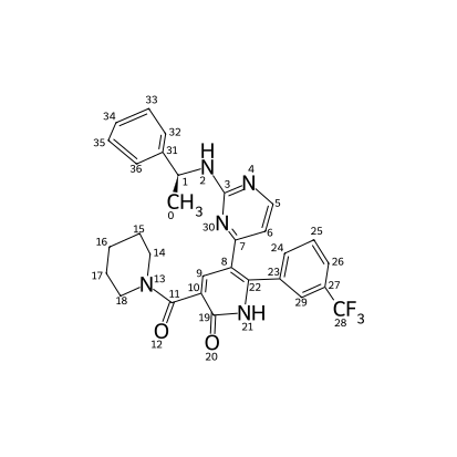 C[C@H](Nc1nccc(-c2cc(C(=O)N3CCCCC3)c(=O)[nH]c2-c2cccc(C(F)(F)F)c2)n1)c1ccccc1